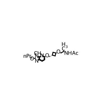 CCCOc1nc2ccc(OC[C@H]3C[C@H](OC[C@H](C)NC(C)=O)C3)nc2n1C